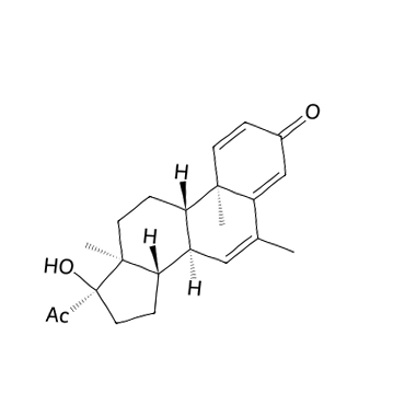 CC(=O)[C@@]1(O)CC[C@H]2[C@@H]3C=C(C)C4=CC(=O)C=C[C@]4(C)[C@H]3CC[C@@]21C